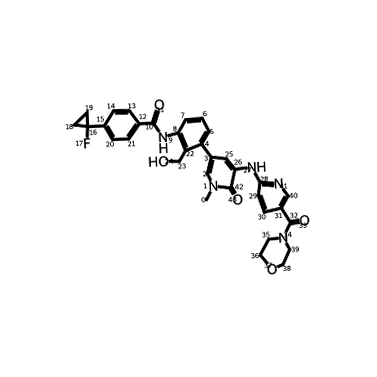 Cn1cc(-c2cccc(NC(=O)c3ccc(C4(F)CC4)cc3)c2CO)cc(Nc2ccc(C(=O)N3CCOCC3)cn2)c1=O